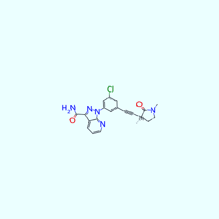 CN1CC[C@@](C)(C#Cc2cc(Cl)cc(-n3nc(C(N)=O)c4cccnc43)c2)C1=O